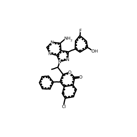 CC(c1oc(=O)c2ccc(Cl)cc2c1-c1ccccc1)n1nc(-c2cc(O)cc(F)c2)c2c(N)ncnc21